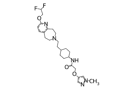 Cn1cc(OCC(=O)NC2CCC(CCN3CCc4ccc(OCC(F)F)nc4CC3)CC2)cn1